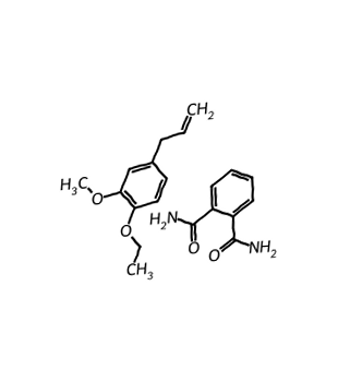 C=CCc1ccc(OCC)c(OC)c1.NC(=O)c1ccccc1C(N)=O